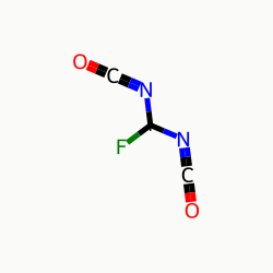 O=C=N[C](F)N=C=O